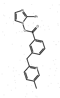 Cc1ccc(Cc2cccc(C(=O)On3ccnc3C(C)C)c2)nc1